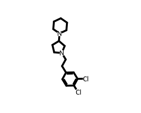 Clc1ccc(CCN2CCC(N3CCCCC3)C2)cc1Cl